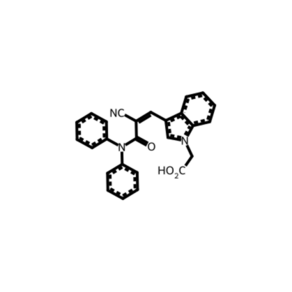 N#CC(=Cc1cn(CC(=O)O)c2ccccc12)C(=O)N(c1ccccc1)c1ccccc1